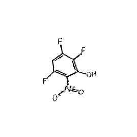 O=[N+]([O-])c1c(F)cc(F)c(F)c1O